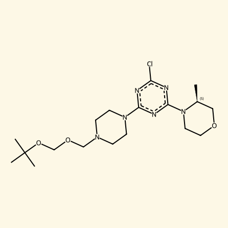 C[C@H]1COCCN1c1nc(Cl)nc(N2CCN(COCOC(C)(C)C)CC2)n1